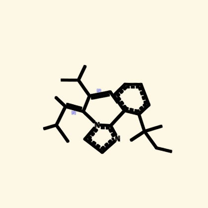 C/C=C(\C(=C(/C)C(C)C)n1ccnc1-c1ccccc1C(C)(C)CC)C(C)C